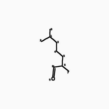 CC(C)CCCC(C)[C]=O